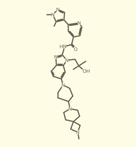 Cc1c(-c2cc(C(=O)Nc3nc4ccc(N5CCC(N6CCC7(CC6)CN(C)C7)CC5)cc4n3CC(C)(C)O)ccn2)cnn1C